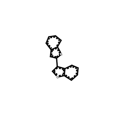 [c]1c(-c2coc3ccccc23)sc2ccccc12